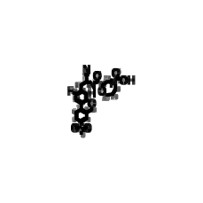 CS(=O)(=O)c1ccc2c(c1)COc1cc(CC(C#N)NC(=O)[C@@H]3CN(C(=O)O)CCCO3)c(F)cc1-2